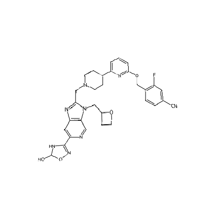 N#Cc1ccc(COc2cccc(C3CCN(Cc4nc5cc(C6=NOC(O)N6)ncc5n4CC4CCO4)CC3)n2)c(F)c1